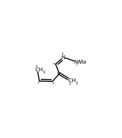 C=C(/C=C\C)/C=N\NC